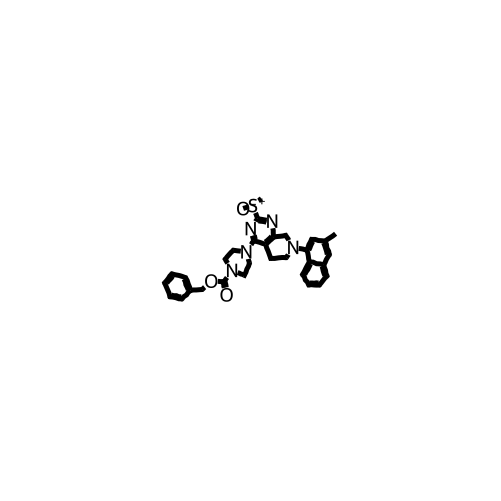 Cc1cc(N2CCc3c(nc([S+](C)[O-])nc3N3CCN(C(=O)OCc4ccccc4)CC3)C2)c2ccccc2c1